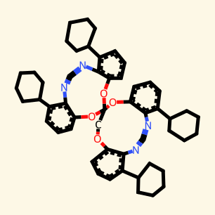 C1=Nc2c(cccc2C2CCCCC2)OCC2(Oc3cccc(C4CCCCC4)c3N=1)Oc1cccc(C3CCCCC3)c1N=C=Nc1c(cccc1C1CCCCC1)O2